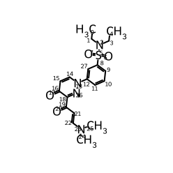 CCN(CC)S(=O)(=O)c1cccc(-n2ccc(=O)c(C(=O)/C=C/N(C)C)n2)c1